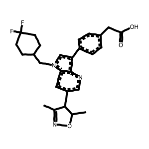 CC1=NOC(C)C1c1cnc2c(-c3ccc(CC(=O)O)cc3)cn(CC3CCC(F)(F)CC3)c2c1